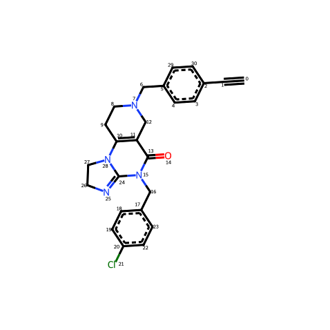 C#Cc1ccc(CN2CCC3=C(C2)C(=O)N(Cc2ccc(Cl)cc2)C2=NCCN23)cc1